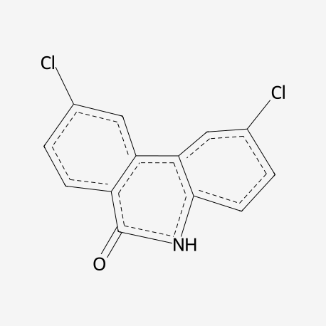 O=c1[nH]c2ccc(Cl)cc2c2cc(Cl)ccc12